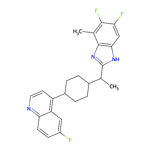 Cc1c(F)c(F)cc2[nH]c(C(C)C3CCC(c4ccnc5ccc(F)cc45)CC3)nc12